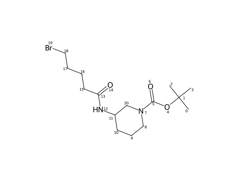 CC(C)(C)OC(=O)N1CCCC(NC(=O)CCCCBr)C1